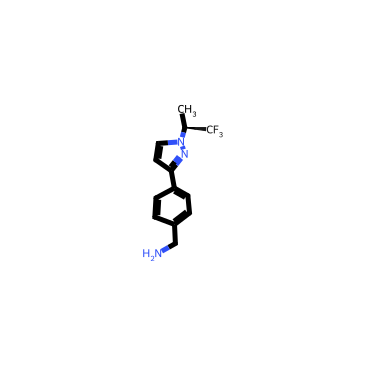 C[C@H](n1ccc(-c2ccc(CN)cc2)n1)C(F)(F)F